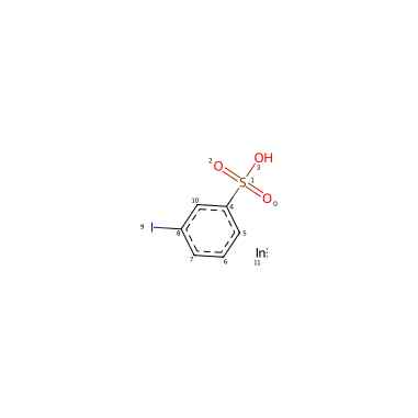 O=S(=O)(O)c1cccc(I)c1.[In]